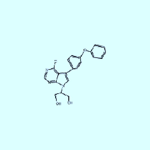 OCC(CO)n1cc(-c2ccc(Oc3ccccc3)cc2)c2c(Cl)ncnc21